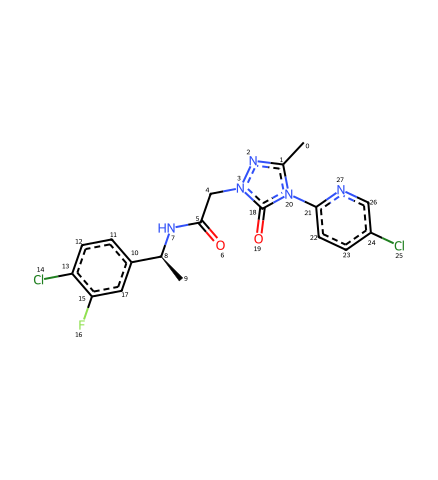 Cc1nn(CC(=O)N[C@@H](C)c2ccc(Cl)c(F)c2)c(=O)n1-c1ccc(Cl)cn1